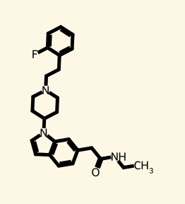 CCNC(=O)Cc1ccc2ccn(C3CCN(CCc4ccccc4F)CC3)c2c1